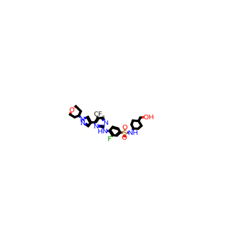 O=S(=O)(NC1CCC(CO)CC1)c1ccc(Nc2ncc(C(F)(F)F)c(-c3cnn(C4CCOCC4)c3)n2)c(F)c1